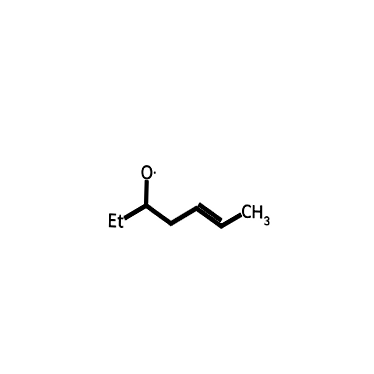 CC=CCC([O])CC